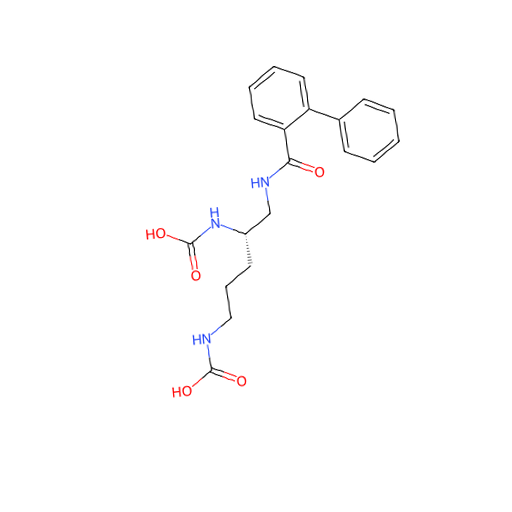 O=C(O)NCCC[C@@H](CNC(=O)c1ccccc1-c1ccccc1)NC(=O)O